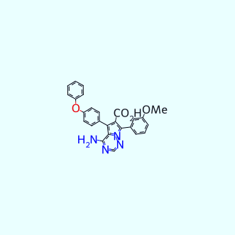 COc1cccc(-c2c(C(=O)O)c(-c3ccc(Oc4ccccc4)cc3)c3c(N)ncnn23)c1